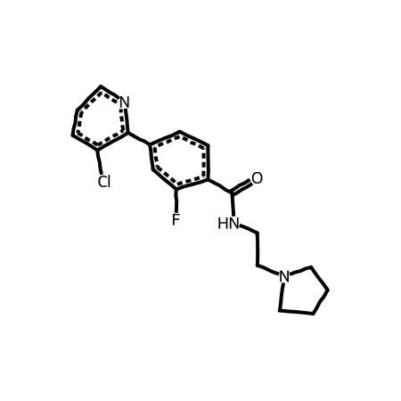 O=C(NCCN1CCCC1)c1ccc(-c2ncccc2Cl)cc1F